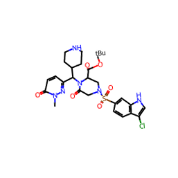 Cn1nc(C(C2CCNCC2)N2C(=O)CN(S(=O)(=O)c3ccc4c(Cl)c[nH]c4c3)CC2C(=O)OC(C)(C)C)ccc1=O